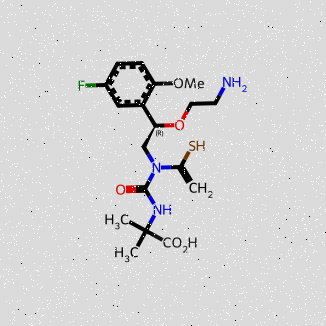 C=C(S)N(C[C@H](OCCN)c1cc(F)ccc1OC)C(=O)NC(C)(C)C(=O)O